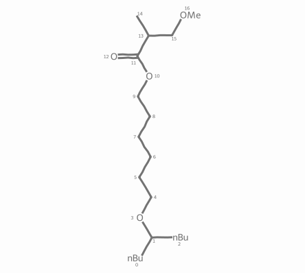 CCCCC(CCCC)OCCCCCCOC(=O)C(C)COC